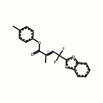 C/C(=C\C(F)(F)c1nc2ccccc2o1)C(=O)Oc1ccc(C)cc1